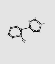 Oc1ccccc1-c1ccncc1